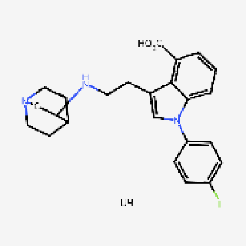 O=C(O)c1cccc2c1c(CCNC1CN3CCC1CC3)cn2-c1ccc(F)cc1.[LiH]